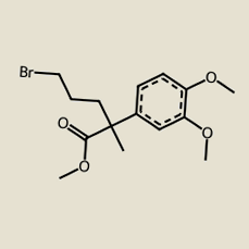 COC(=O)C(C)(CCCBr)c1ccc(OC)c(OC)c1